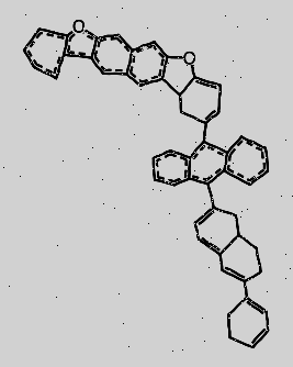 C1=CCCC(C2=CC3=CC=C(c4c5ccccc5c(C5=CC=C6Oc7cc8cc9oc%10ccccc%10c9cc8cc7C6C5)c5ccccc45)CC3CC2)=C1